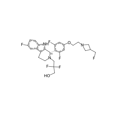 OCC(F)(F)CN1CCc2c([nH]c3ccc(F)cc23)[C@@H]1c1c(F)cc(OCCN2CC(CF)C2)cc1F